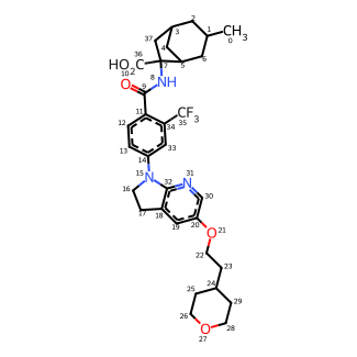 CC1CC2CC(C1)C(NC(=O)c1ccc(N3CCc4cc(OCCC5CCOCC5)cnc43)cc1C(F)(F)F)(C(=O)O)C2